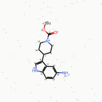 CC(C)(C)OC(=O)N1CCC(c2c[nH]c3ccc(N)cc23)CC1